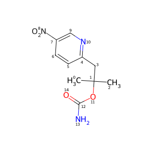 CC(C)(Cc1ccc([N+](=O)[O-])cn1)OC(N)=O